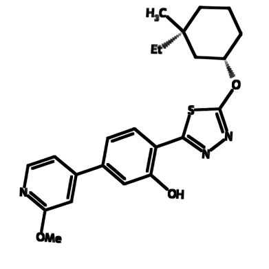 CC[C@]1(C)CCC[C@H](Oc2nnc(-c3ccc(-c4ccnc(OC)c4)cc3O)s2)C1